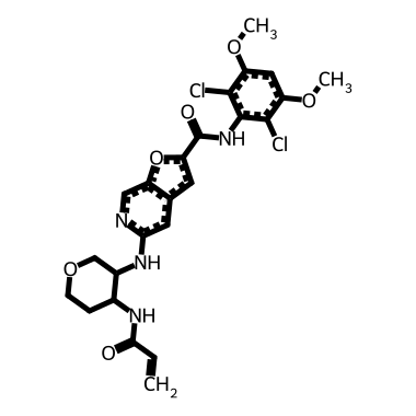 C=CC(=O)NC1CCOCC1Nc1cc2cc(C(=O)Nc3c(Cl)c(OC)cc(OC)c3Cl)oc2cn1